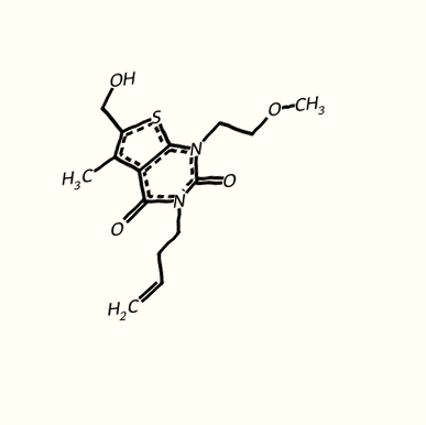 C=CCCn1c(=O)c2c(C)c(CO)sc2n(CCOC)c1=O